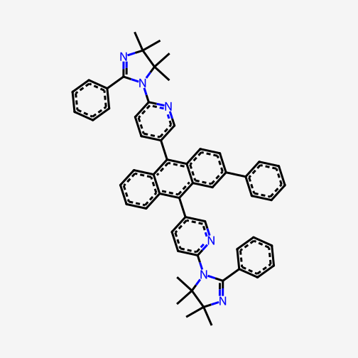 CC1(C)N=C(c2ccccc2)N(c2ccc(-c3c4ccccc4c(-c4ccc(N5C(c6ccccc6)=NC(C)(C)C5(C)C)nc4)c4cc(-c5ccccc5)ccc34)cn2)C1(C)C